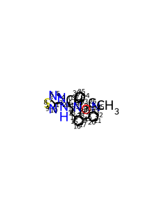 C[C@H](Nc1ncnc2scnc12)c1cc2cccc(-c3cccc(N(C)C)c3)c2c(=O)n1-c1ccccc1